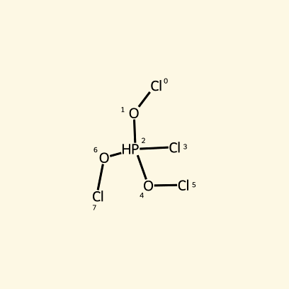 ClO[PH](Cl)(OCl)OCl